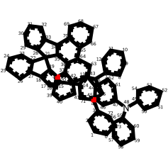 c1ccc(-c2cc(-c3ccccc3)cc(-c3ccc4c(c3)C3(c5ccccc5-4)c4ccccc4-c4c3c3c5ccccc5c(-c5ccc(N(c6ccccc6)c6ccccc6)cc5)cc3c3ccccc43)c2)cc1